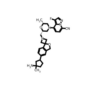 C[C@@H]1CN(c2ccc(C#N)n3ncc(F)c23)C[C@H](CN2CC3(C2)OCc2cc(C4CCC(C)(N)C4)ccc23)O1